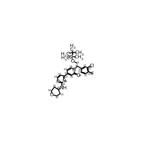 CC(C)(C)[Si](C)(C)OC[C@H](c1ccc(F)c(Cl)c1)n1ccc(-c2ccnc(NC3CCOCC3)n2)cc1=O